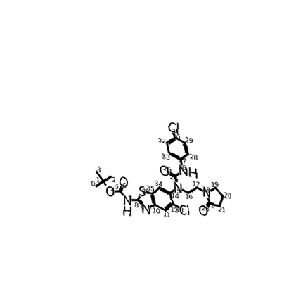 CC(C)(C)OC(=O)Nc1nc2cc(Cl)c(N(CCN3CCCC3=O)C(=O)Nc3ccc(Cl)cc3)cc2s1